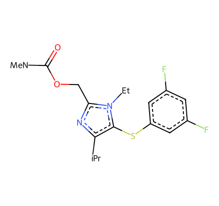 CCn1c(COC(=O)NC)nc(C(C)C)c1Sc1cc(F)cc(F)c1